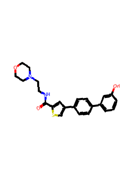 O=C(NCCN1CCOCC1)c1cc(-c2ccc(-c3cccc(O)c3)cc2)cs1